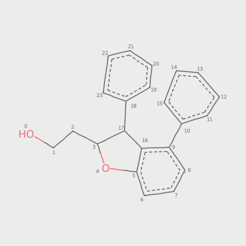 OCCC1Oc2cc[c]c(-c3ccccc3)c2C1c1ccccc1